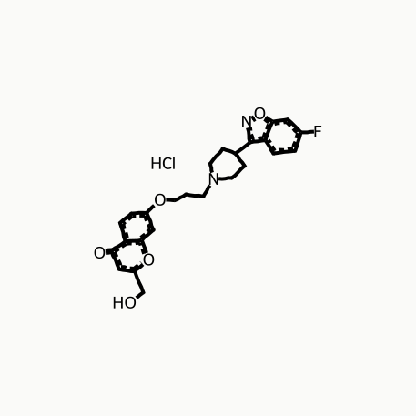 Cl.O=c1cc(CO)oc2cc(OCCCN3CCC(c4noc5cc(F)ccc45)CC3)ccc12